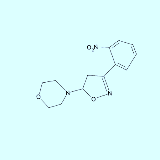 O=[N+]([O-])c1ccccc1C1=NOC(N2CCOCC2)C1